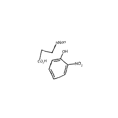 CCCCCCCCCCCC(=O)O.O=[N+]([O-])c1ccccc1O